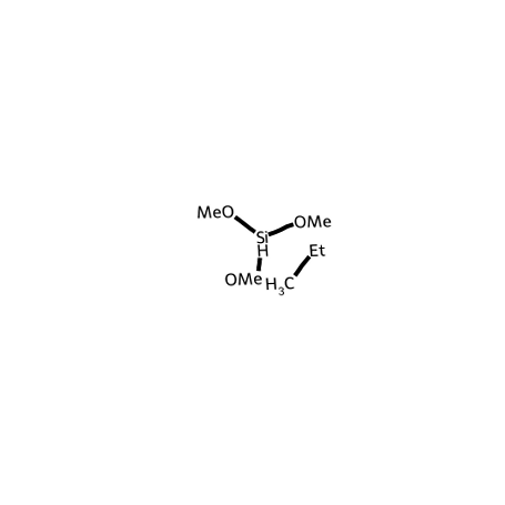 CCC.CO[SiH](OC)OC